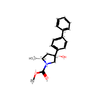 CC(C)(C)OC(=O)N1C[C@](O)(c2ccc(-c3ccccc3)cc2)C[C@H]1C(=O)O